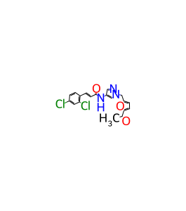 CC(=O)c1ccc(Cn2cc(NC(=O)C=Cc3ccc(Cl)cc3Cl)cn2)o1